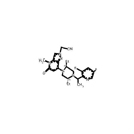 CC[C@H]1CN(C(C)c2ncc(F)cc2F)[C@H](CC)CN1c1cc(=O)n(C)c2cn(CC#N)nc12